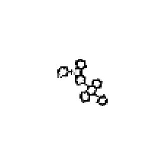 c1ccc(-c2c3ccccc3c(-c3ccc4c(c3)c3ccccc3n4-c3cccnc3)c3ccccc23)cc1